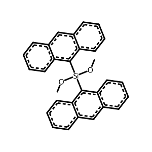 CO[Si](OC)(c1c2ccccc2cc2ccccc12)c1c2ccccc2cc2ccccc12